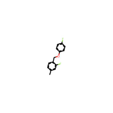 Cc1ccc(COc2ccc(F)cc2)c(F)c1